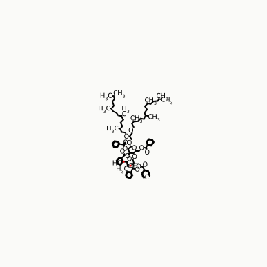 CC(C)CCCC(C)CCCC(C)CCCC(C)CCOCC(CO[C@@H]1OC(COC(=O)c2ccccc2)[C@@H](O[C@H](OC(CO)[C@@H](C)O)[C@H](COC(=O)c2ccccc2)OC(=O)c2ccccc2)C(OC(=O)c2ccccc2)[C@@H]1OC(=O)c1ccccc1)OCCC(C)CCCC(C)CCCC(C)CCCC(C)C